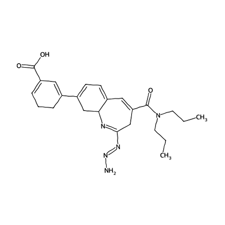 CCCN(CCC)C(=O)C1=CC2=CC=C(C3=CC(C(=O)O)=CCC3)CC2N=C(N=NN)C1